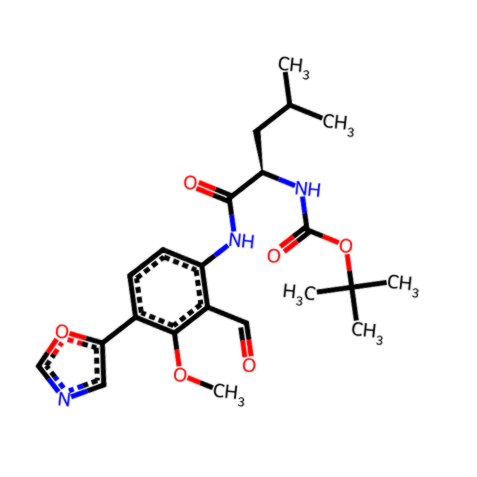 COc1c(-c2cnco2)ccc(NC(=O)[C@@H](CC(C)C)NC(=O)OC(C)(C)C)c1C=O